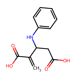 C=C(C(=O)O)C(CC(=O)O)Nc1ccccc1